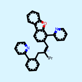 CC(C)/C(=C/c1ccc2c(oc3ccccc32)c1-c1ccccn1)Cc1ccccc1-c1ccccn1